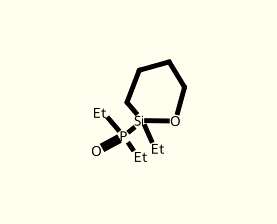 CC[Si]1(P(=O)(CC)CC)CCCCO1